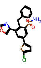 NS(=O)(=O)c1cc(-c2ccc(Cl)s2)cc(-c2cocn2)c1Cc1ccccc1